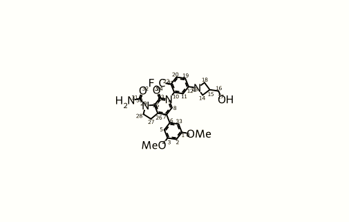 COc1cc(OC)cc(-c2cn(-c3cc(N4CC(CO)C4)ccc3C(F)(F)F)c(=O)c3c2CCN3C(N)=O)c1